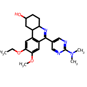 CCOc1cc2c(cc1OC)C(c1cnc(N(C)C)nc1)=NC1CCC(O)CC21